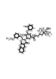 COc1cccc(CCN(C(=O)c2cc3ccccc3oc2=O)[C@@H]2CC(C(=O)NCCCC(C)(C)[Si](C)(C)O)=C[C@H](Oc3ccccc3I)[C@H]2O)c1